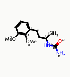 COc1cccc(CCC([SiH3])NC(N)=O)c1OC